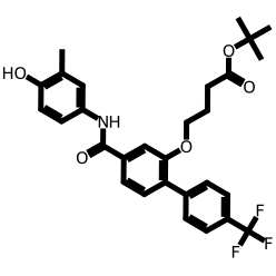 Cc1cc(NC(=O)c2ccc(-c3ccc(C(F)(F)F)cc3)c(OCCCC(=O)OC(C)(C)C)c2)ccc1O